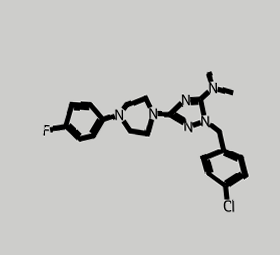 CN(C)c1nc(N2CCN(c3ccc(F)cc3)CC2)nn1Cc1ccc(Cl)cc1